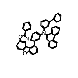 C1=CCCC(c2cccc(N(c3cccc(-c4cccc5oc6ccc7oc(-c8ccccc8)nc7c6c45)c3)c3cc4ccccc4c4ccccc34)c2)=C1